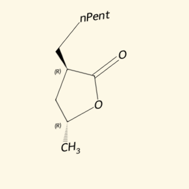 CCCCCC[C@@H]1C[C@@H](C)OC1=O